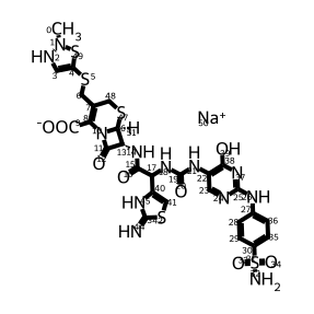 CN1NC=C(SCC2=C(C(=O)[O-])N3C(=O)[C@@H](NC(=O)C(NC(=O)Nc4cnc(Nc5ccc(S(N)(=O)=O)cc5)nc4O)c4csc(=N)[nH]4)[C@@H]3SC2)S1.[Na+]